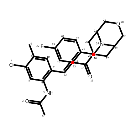 CC(=O)Nc1cc(Cl)c(C)cc1C=CC(=O)N1CC2COCC(C1)N2Cc1ccc(F)cc1